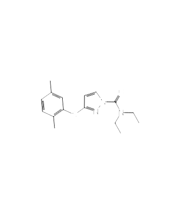 CCN(CC)C(=O)n1ccc(Sc2cc(C)ccc2C)n1